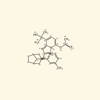 Cc1cc(N2CC3CCC(C2)C3Nc2nc3c(C(C)(C)O)ccc(O[C@@H](C)C(F)(F)F)n3n2)ncn1